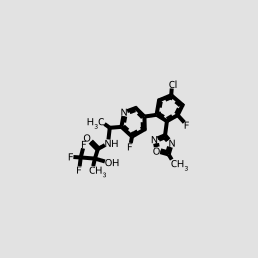 Cc1nc(-c2c(F)cc(Cl)cc2-c2cnc(C(C)NC(=O)C(C)(O)C(F)(F)F)c(F)c2)no1